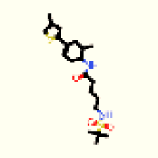 Cc1csc(C2=CCC(NC(=O)CCCCNS(=O)(=O)C(C)(C)C)C(C)C2)c1